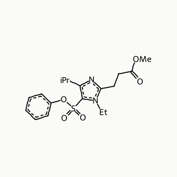 CCn1c(CCC(=O)OC)nc(C(C)C)c1S(=O)(=O)Oc1ccccc1